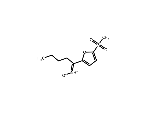 CCCCC(=[NH+][O-])c1ccc(S(C)(=O)=O)o1